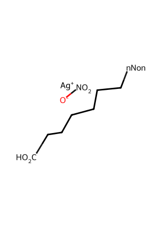 CCCCCCCCCCCCCCCC(=O)O.O=[N+]([O-])[O-].[Ag+]